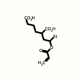 C=CC(=O)OC(CC)CC(CCCC(=O)O)C(=O)O